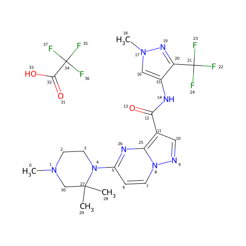 CN1CCN(c2ccn3ncc(C(=O)Nc4cn(C)nc4C(F)(F)F)c3n2)C(C)(C)C1.O=C(O)C(F)(F)F